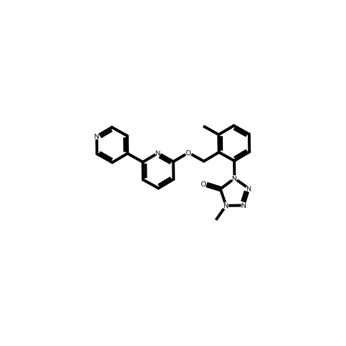 Cc1cccc(-n2nnn(C)c2=O)c1COc1cccc(-c2ccncc2)n1